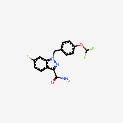 NC(=O)c1nn(Cc2ccc(OC(F)F)cc2)c2cc(F)ccc12